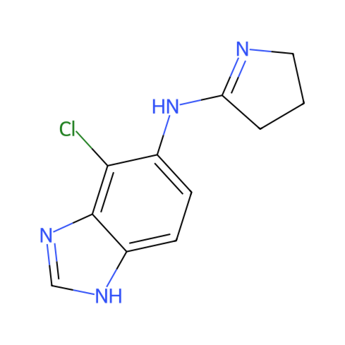 Clc1c(NC2=NCCC2)ccc2[nH]cnc12